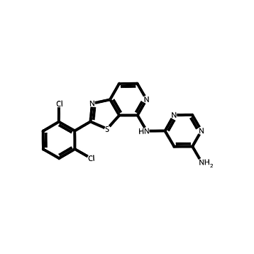 Nc1cc(Nc2nccc3nc(-c4c(Cl)cccc4Cl)sc23)ncn1